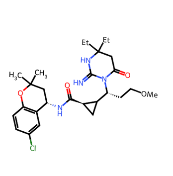 CCC1(CC)CC(=O)N([C@H](CCOC)C2C[C@H]2C(=O)N[C@H]2CC(C)(C)Oc3ccc(Cl)cc32)C(=N)N1